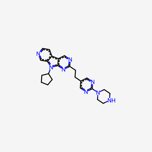 c1cc2c3cnc(CCc4cnc(N5CCNCC5)nc4)nc3n(C3CCCC3)c2cn1